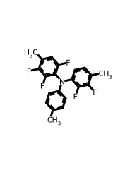 Cc1ccc(N(c2ccc(C)c(F)c2F)c2c(F)cc(C)c(F)c2F)cc1